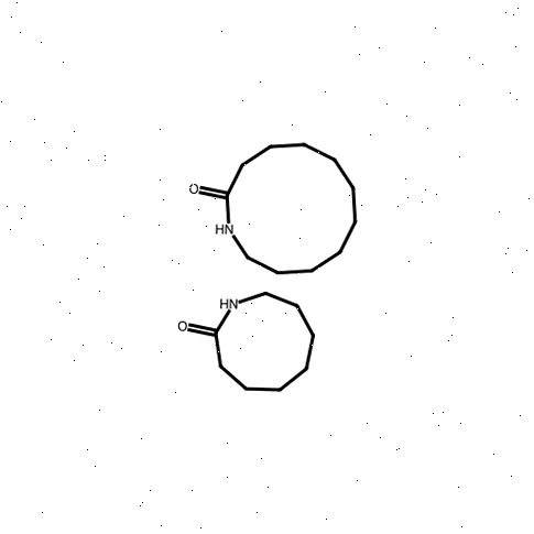 O=C1CCCCCCCCCCN1.O=C1CCCCCCCN1